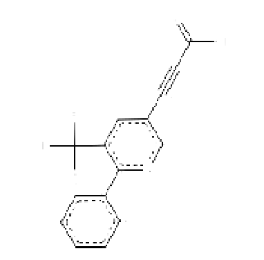 O=C(O)C#Cc1cnc(-c2ccccc2)c(C(F)(F)F)c1